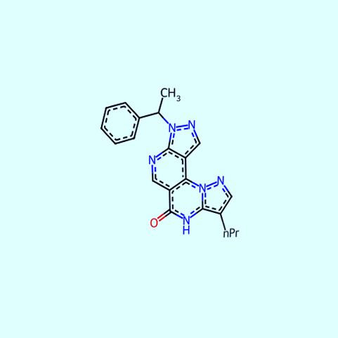 CCCc1cnn2c1[nH]c(=O)c1cnc3c(cnn3C(C)c3ccccc3)c12